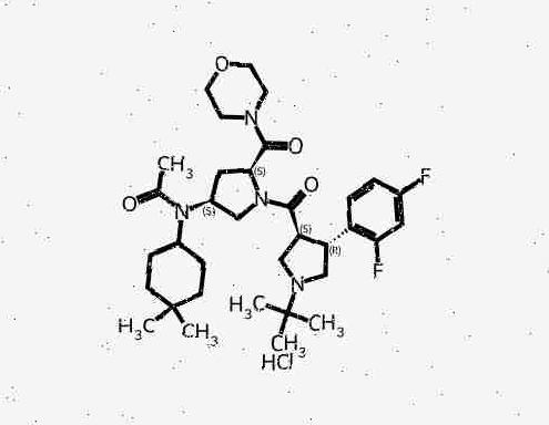 CC(=O)N(C1CCC(C)(C)CC1)[C@H]1C[C@@H](C(=O)N2CCOCC2)N(C(=O)[C@@H]2CN(C(C)(C)C)C[C@H]2c2ccc(F)cc2F)C1.Cl